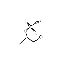 CC(CCl)OS(=O)(=O)O